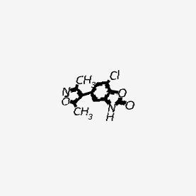 Cc1noc(C)c1-c1cc(Cl)c2oc(=O)[nH]c2c1